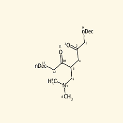 CCCCCCCCCCCC(=O)CC(CN(C)C)C(=O)CCCCCCCCCCC